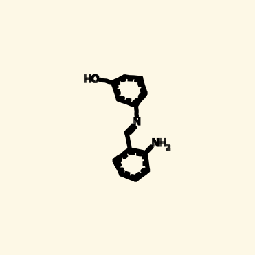 Nc1ccccc1/C=N/c1cccc(O)c1